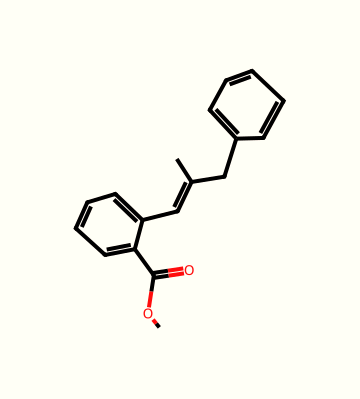 COC(=O)c1ccccc1/C=C(\C)Cc1ccccc1